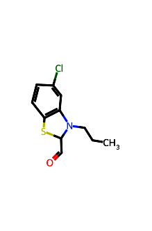 CCCN1c2cc(Cl)ccc2SC1C=O